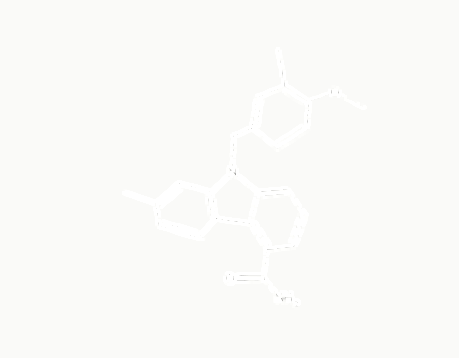 COc1ccc(Cn2c3cc(C)c[c]c3c3c(C(N)=O)cccc32)cc1C